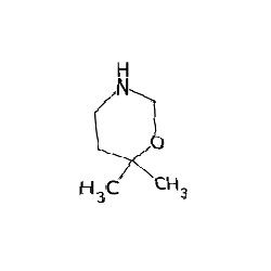 CC1(C)CCNCO1